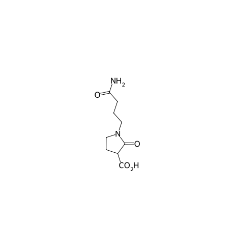 NC(=O)CCCN1CCC(C(=O)O)C1=O